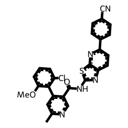 COc1cccc(Cl)c1-c1cc(C)ncc1C(=O)Nc1nc2ccc(-c3ccc(C#N)cc3)nc2s1